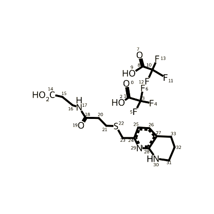 O=C(O)C(F)(F)F.O=C(O)C(F)(F)F.O=C(O)CCNC(=O)CCSCc1ccc2c(n1)NCCC2